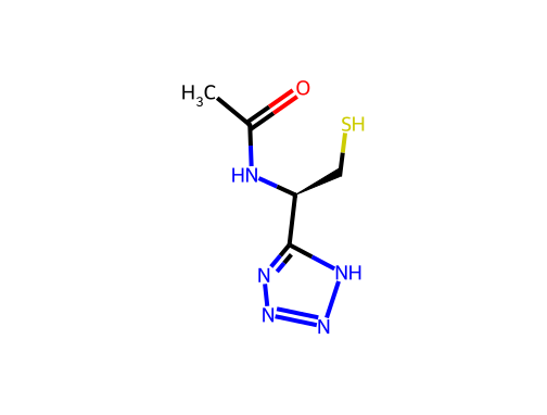 CC(=O)N[C@@H](CS)c1nnn[nH]1